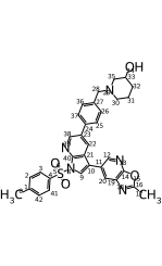 Cc1ccc(S(=O)(=O)n2cc(-c3cnc4oc(C)nc4c3)c3cc(-c4ccc(CN5CCCC(O)C5)cc4)cnc32)cc1